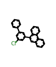 Clc1cc(-c2ccccc2)cc(-c2cc3ccccc3c3ccccc23)c1